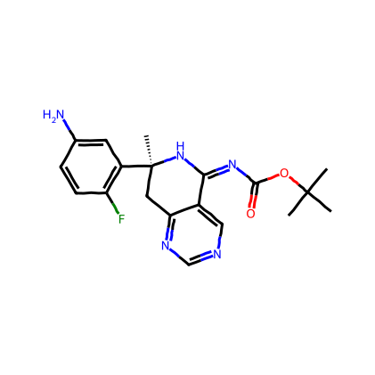 CC(C)(C)OC(=O)/N=C1/N[C@](C)(c2cc(N)ccc2F)Cc2ncncc21